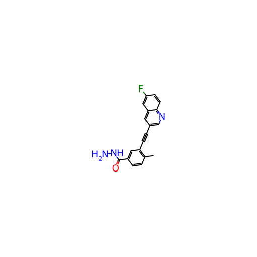 Cc1ccc(C(=O)NN)cc1C#Cc1cnc2ccc(F)cc2c1